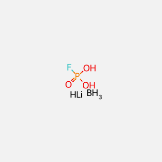 B.O=P(O)(O)F.[LiH]